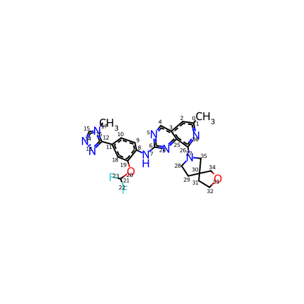 Cc1cc2cnc(Nc3ccc(-c4nncn4C)cc3OC(F)F)nc2c(N2CCC3(CCOC3)C2)n1